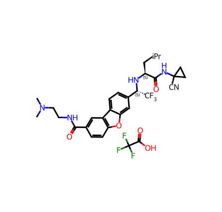 CC(C)C[C@H](N[C@@H](c1ccc2c(c1)oc1ccc(C(=O)NCCN(C)C)cc12)C(F)(F)F)C(=O)NC1(C#N)CC1.O=C(O)C(F)(F)F